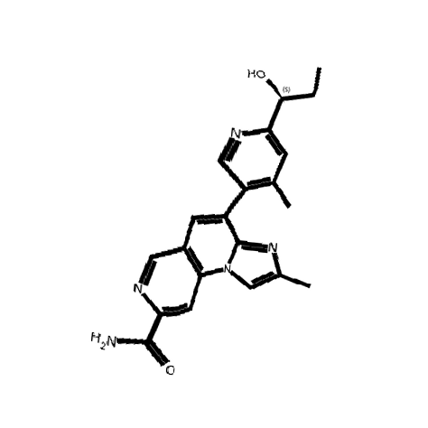 CC[C@H](O)c1cc(C)c(-c2cc3cnc(C(N)=O)cc3n3cc(C)nc23)cn1